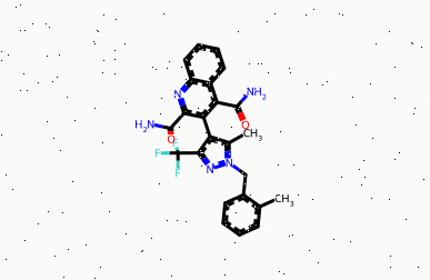 Cc1ccccc1Cn1nc(C(F)(F)F)c(-c2c(C(N)=O)nc3ccccc3c2C(N)=O)c1C